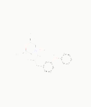 CC(Cc1cccc(Oc2ccccc2)c1)C[N+]1([O-])C[C@@H](C)O[C@@H](C)C1